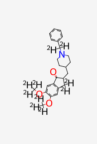 [2H]C([2H])([2H])Oc1cc2c(cc1OC([2H])([2H])[2H])C([2H])([2H])C(CC1CCN(C([2H])([2H])c3ccccc3)CC1)C2=O